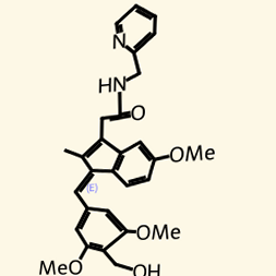 COc1ccc2c(c1)C(CC(=O)NCc1ccccn1)=C(C)/C2=C/c1cc(OC)c(CO)c(OC)c1